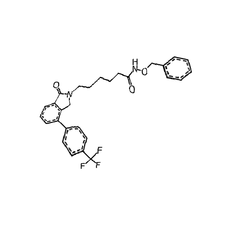 O=C(CCCCCN1Cc2c(cccc2-c2ccc(C(F)(F)F)cc2)C1=O)NOCc1ccccc1